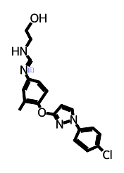 Cc1cc(/N=C/NCCO)ccc1Oc1ccn(-c2ccc(Cl)cc2)n1